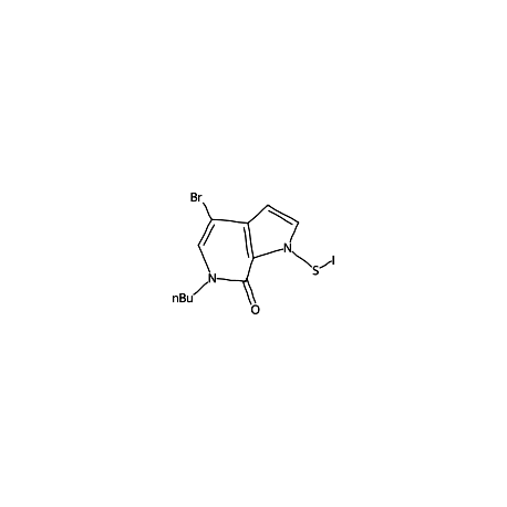 CCCCn1cc(Br)c2ccn(SI)c2c1=O